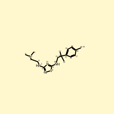 CN(C)CCNc1nsc(NCC(C)(C)c2ccc(F)cc2)n1